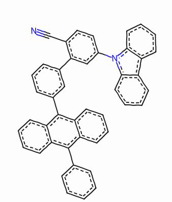 N#Cc1ccc(-n2c3ccccc3c3ccccc32)cc1-c1cccc(-c2c3ccccc3c(-c3ccccc3)c3ccccc23)c1